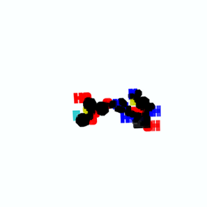 Cc1ncsc1-c1ccc(C(C)NC(=O)C2CC(O)CN2C(=O)[C@@H](NC(=O)CCN2CCN(CCOc3ccc(Oc4c(C(=O)c5cccc(F)c5)sc5cc(O)ccc45)cc3)CC2)C(C)(C)C)cc1